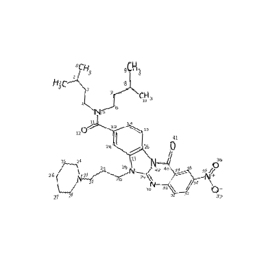 CC(C)CCN(CCC(C)C)C(=O)c1ccc2c(c1)n(CCCN1CCCCC1)c1nc3ccc([N+](=O)[O-])cc3c(=O)n21